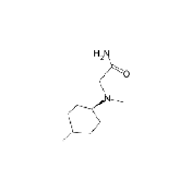 CN(CC(N)=O)[C@H]1CC[C@H](C)CC1